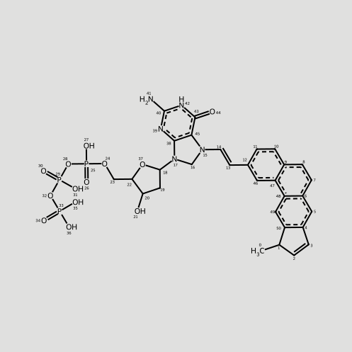 CC1C=Cc2cc3ccc4ccc(/C=C/N5CN(C6CC(O)C(COP(=O)(O)OP(=O)(O)OP(=O)(O)O)O6)c6nc(N)[nH]c(=O)c65)cc4c3cc21